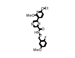 CCOc1ccc(-c2cncc(C(=O)NOCc3cc(OC)ccc3F)n2)c(OC)n1